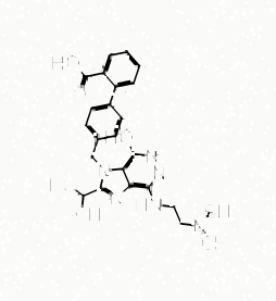 CC(C)c1nc2c(NCCN(C)C)nnc(O)c2n1Cc1ccc(-c2ccccc2C(=O)O)cc1